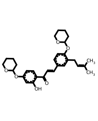 CC(C)=CCc1cc(/C=C/C(=O)c2ccc(OC3CCCCO3)cc2O)ccc1OC1CCCCO1